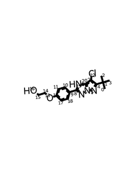 CC(C)(C)c1nn2nc(-c3ccc(OCCO)cc3)[nH]c2c1Cl